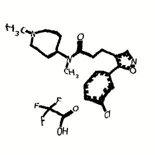 CN1CCC(N(C)C(=O)CCc2cnoc2-c2cccc(Cl)c2)CC1.O=C(O)C(F)(F)F